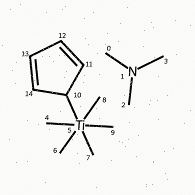 CN(C)C.[CH3][Ti]([CH3])([CH3])([CH3])([CH3])[CH]1C=CC=C1